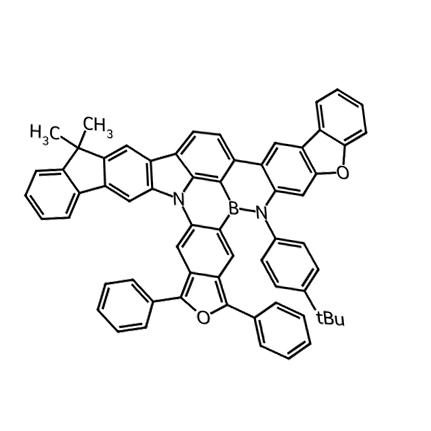 CC(C)(C)c1ccc(N2B3c4cc5c(-c6ccccc6)oc(-c6ccccc6)c5cc4-n4c5cc6c(cc5c5ccc(c3c54)-c3cc4c(cc32)oc2ccccc24)C(C)(C)c2ccccc2-6)cc1